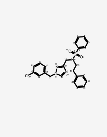 O=S(=O)(c1ccccc1)N(CCc1ccccc1)Cc1ncn(Cc2cccc(Cl)c2)n1